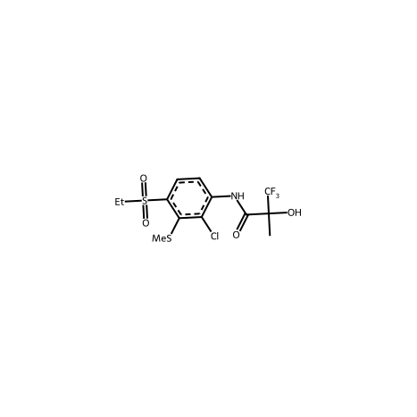 CCS(=O)(=O)c1ccc(NC(=O)C(C)(O)C(F)(F)F)c(Cl)c1SC